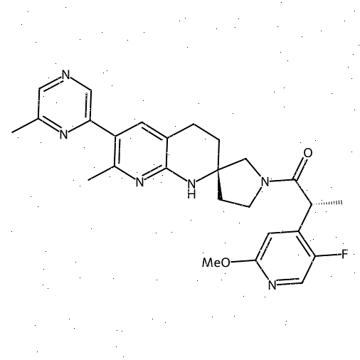 COc1cc([C@@H](C)C(=O)N2CC[C@@]3(CCc4cc(-c5cncc(C)n5)c(C)nc4N3)C2)c(F)cn1